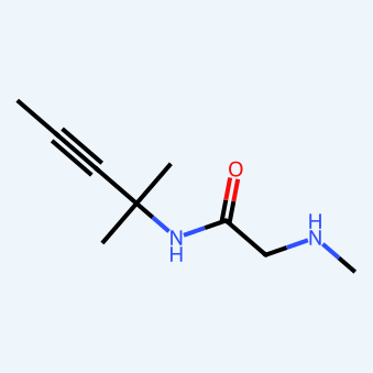 CC#CC(C)(C)NC(=O)CNC